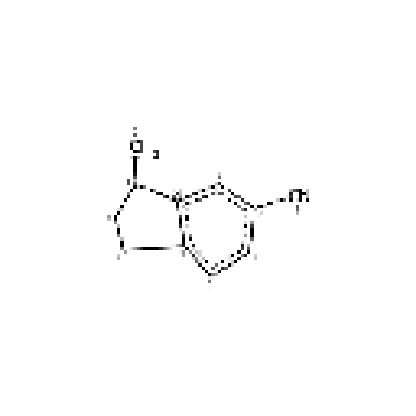 C[C@@H]1CCc2ccc(C#N)cc21